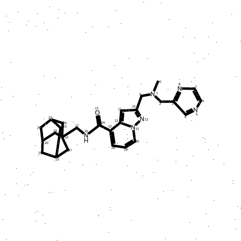 CN(Cc1cnccn1)Cc1cc2c(C(=O)NCC34CC5CC(CC(C5)C3)C4)cccn2n1